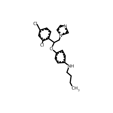 CCCCNc1ccc(OC(Cn2ccnc2)c2ccc(Cl)cc2Cl)cc1